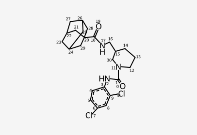 O=C(Nc1ccc(Cl)cc1Cl)N1CCCC(CNC(=O)C23CC4CC(CC(C4)C2)C3)C1